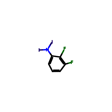 Fc1cccc(N(I)I)c1F